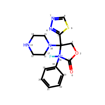 O=C1O[CH]C(c2nncs2)(N2CCNCC2)[N+]1(F)c1ccccc1